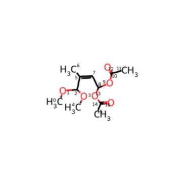 COC(OC)/C(C)=C\C(OC(C)=O)OC(C)=O